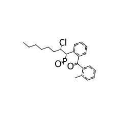 CCCCCCC(Cl)C(P=O)c1ccccc1C(=O)c1ccccc1C